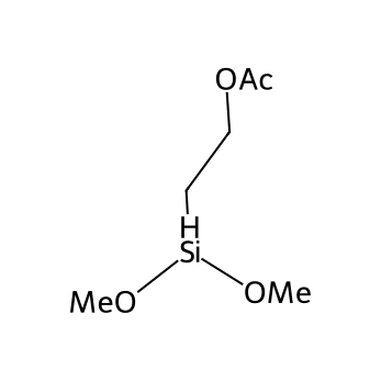 CO[SiH](CCOC(C)=O)OC